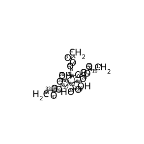 C=CC(=O)OOCCc1c(CCOOC(=O)C=C)c(C(=O)O)c(C(=O)O)c(CCOOC(=O)C=C)c1C(=O)O